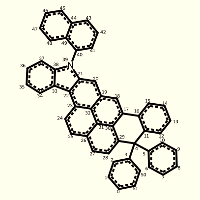 c1ccc(C2(c3ccccc3)c3ccccc3-c3cc4cc5c(c6ccc7ccc2c3c7c46)c2ccccc2n5-c2cccc3ccccc23)cc1